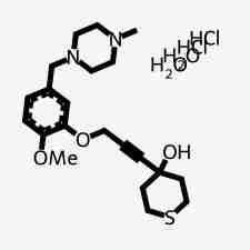 COc1ccc(CN2CCN(C)CC2)cc1OCC#CC1(O)CCSCC1.Cl.Cl.O.O